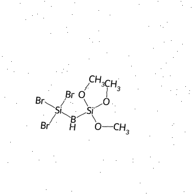 CO[Si](B[Si](Br)(Br)Br)(OC)OC